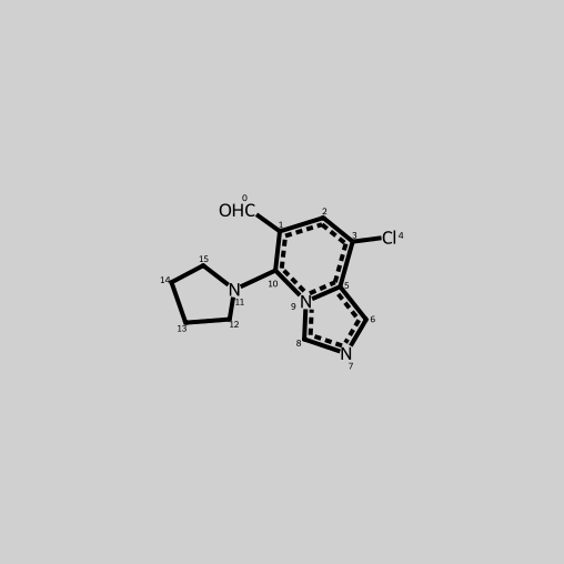 O=Cc1cc(Cl)c2cncn2c1N1CCCC1